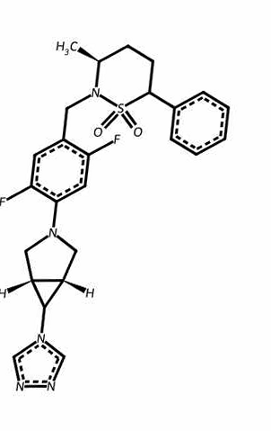 C[C@H]1CCC(c2ccccc2)S(=O)(=O)N1Cc1cc(F)c(N2C[C@@H]3C(n4cnnc4)[C@@H]3C2)cc1F